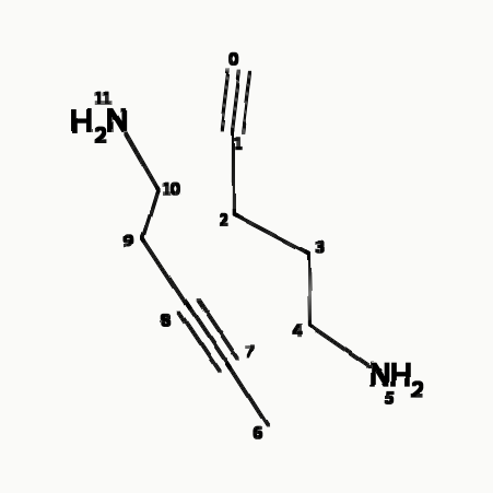 C#CCCCN.CC#CCCN